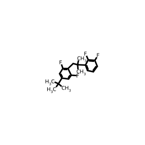 CC(C)(C)c1cc(F)c(CC(C)(C)c2cccc(F)c2F)c(F)c1